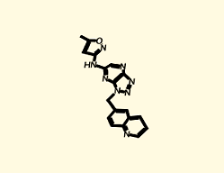 Cc1cc(Nc2cnc3nnn(Cc4ccc5ncccc5c4)c3n2)no1